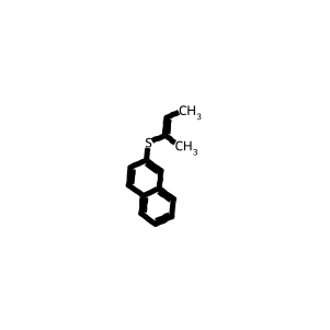 C/C=C(\C)Sc1ccc2ccccc2c1